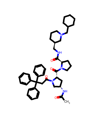 CC(=O)N[C@H]1C[C@@H](C(=O)N2CCC[C@@H]2C(=O)NC[C@H]2CCCN(CC3CCCCC3)C2)N(C(=O)CC(c2ccccc2)(c2ccccc2)c2ccccc2)C1